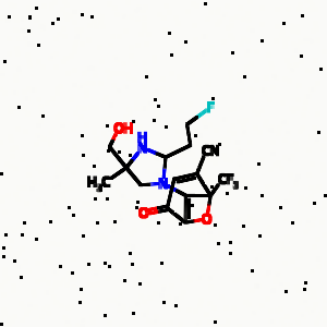 CC1(CO)CN(C2=C3OC2(C(F)(F)F)C(C#N)=CC3=O)C(CCF)N1